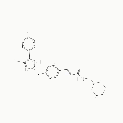 O=C(/C=C/c1ccc(Cc2nc(Cl)c(-c3ccc(O)cc3)[nH]2)cc1)NOC1CCCCO1